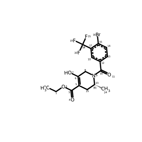 CCOC(=O)C1=C(O)CN(C(=O)c2ccc(Br)c(C(F)(F)F)c2)[C@H](C)C1